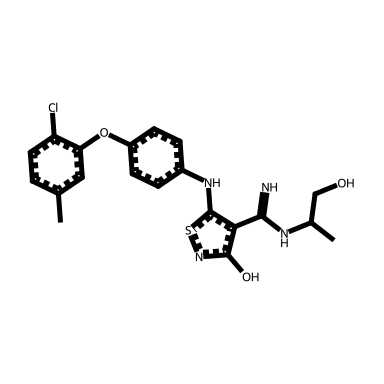 Cc1ccc(Cl)c(Oc2ccc(Nc3snc(O)c3C(=N)NC(C)CO)cc2)c1